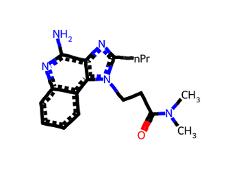 CCCc1nc2c(N)nc3ccccc3c2n1CCC(=O)N(C)C